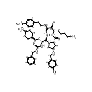 COc1ccc(CCNC(=O)C(=O)[C@H](CCCCN)NC(=O)[C@@H]2C[C@@H](OCc3ccc(Cl)cc3)CN2C(=O)[C@@H](CC=C2CCC(N)CC2)NC(=O)OCc2ccccc2)cc1